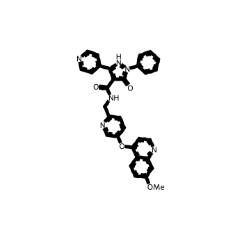 COc1ccc2c(Oc3ccc(CNC(=O)c4c(-c5ccncc5)[nH]n(-c5ccccc5)c4=O)nc3)ccnc2c1